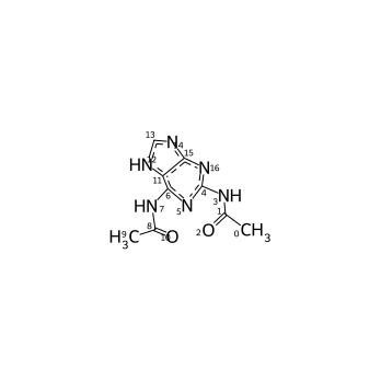 CC(=O)Nc1nc(NC(C)=O)c2[nH]cnc2n1